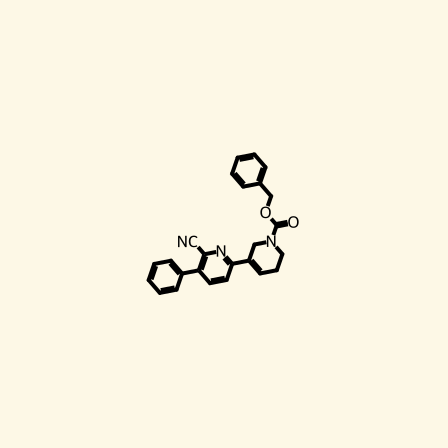 N#Cc1nc(C2=CCCN(C(=O)OCc3ccccc3)C2)ccc1-c1ccccc1